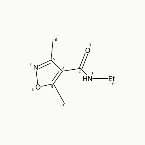 CCNC(=O)c1c(C)noc1C